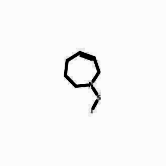 ISN1CC=CCCC1